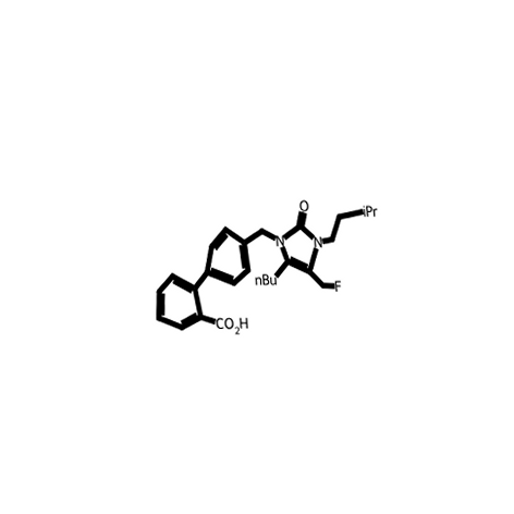 CCCCc1c(CF)n(CCC(C)C)c(=O)n1Cc1ccc(-c2ccccc2C(=O)O)cc1